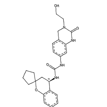 O=C(Nc1ccc2c(c1)NC(=O)N(CCO)C2)N[C@@H]1CC2(CCCC2)Oc2ccccc21